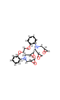 c1ccc(N(CC2CO2)CC2CO2)c(OCCOc2ccccc2N(CC2CO2)CC2CO2)c1